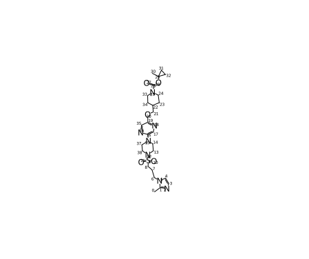 Cc1nccn1CCCS(=O)(=O)N1CCN(c2cnc(OCC3CCN(C(=O)OC4(C)CC4)CC3)cn2)CC1